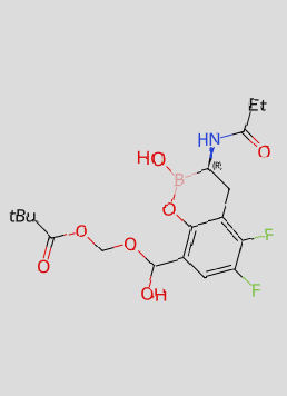 CCC(=O)N[C@H]1Cc2c(F)c(F)cc(C(O)OCOC(=O)C(C)(C)C)c2OB1O